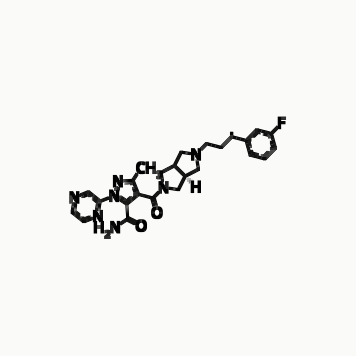 Cc1nn(-c2cnccn2)c(C(N)=O)c1C(=O)N1CC2CN(CC[CH]c3cccc(F)c3)C[C@H]2C1